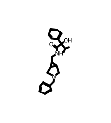 CC(C)C(O)(C(=O)NCC1C2CN(Cc3ccccc3)CC12)c1ccccc1